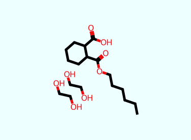 CCCCCCOC(=O)C1CCCCC1C(=O)O.OCCO.OCCO